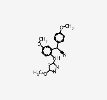 COc1ccc(C(C#N)c2cc(OC)ccc2NC2N=NC(OC)S2)cc1